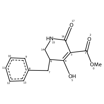 COC(=O)C1=C(O)C(Cc2ccccc2)CNC1=O